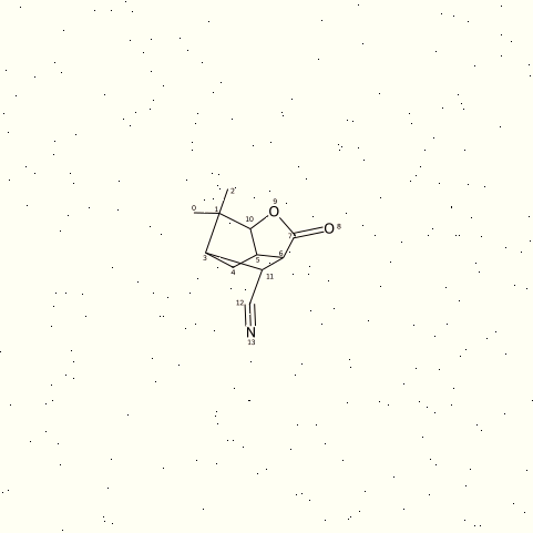 CC1(C)C2CC3C(C(=O)OC31)C2C#N